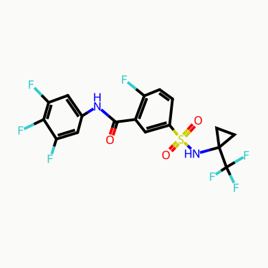 O=C(Nc1cc(F)c(F)c(F)c1)c1cc(S(=O)(=O)NC2(C(F)(F)F)CC2)ccc1F